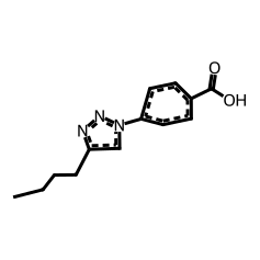 CCCCc1cn(-c2ccc(C(=O)O)cc2)nn1